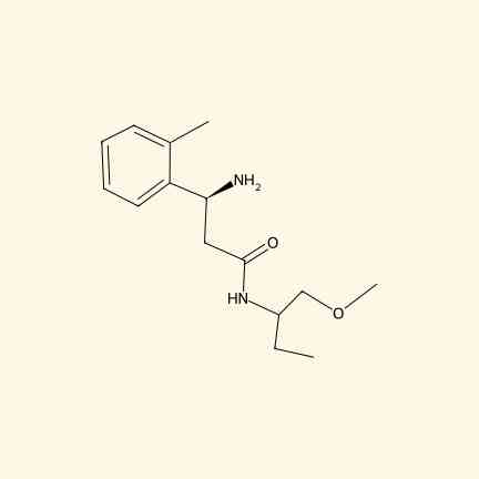 CCC(COC)NC(=O)C[C@H](N)c1ccccc1C